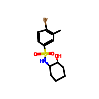 Cc1cc(S(=O)(=O)N[C@@H]2CCCC[C@H]2O)ccc1Br